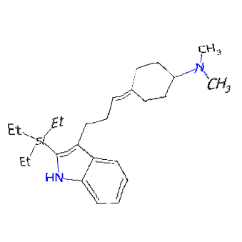 CC[Si](CC)(CC)c1[nH]c2ccccc2c1CCC=C1CCC(N(C)C)CC1